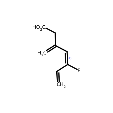 C=C/C(F)=C\C(=C)CC(=O)O